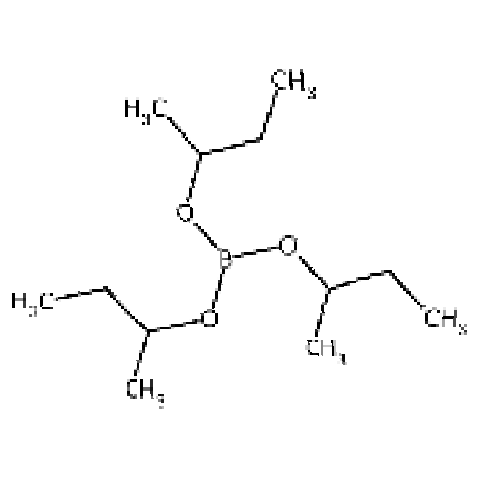 CCC(C)OB(OC(C)CC)OC(C)CC